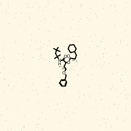 C[C@@H](CC1CCCCC1)C(=O)OC(C(=O)NC(C)(C)CC(C)(C)C)[C@@H](C)COCc1ccccc1